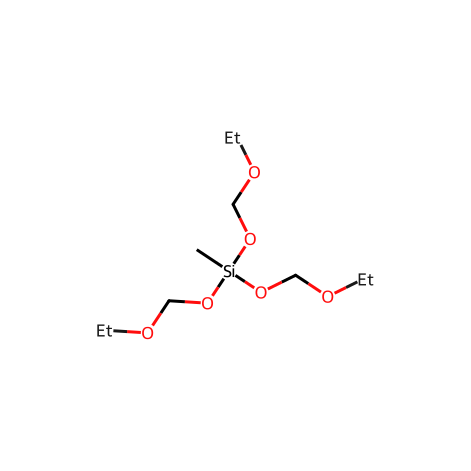 CCOCO[Si](C)(OCOCC)OCOCC